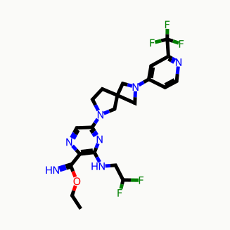 CCOC(=N)c1ncc(N2CCC3(CN(c4ccnc(C(F)(F)F)c4)C3)C2)nc1NCC(F)F